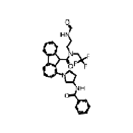 O=CNCCN(CC(F)(F)F)C(=O)C1c2ccccc2-c2cccc(N3CCC(NC(=O)c4ccccc4)C3)c21